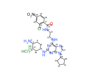 Cl.Cl.N[C@H]1CC[C@H](Nc2nc(NCCNC(=O)c3ccc([N+](=O)[O-])cc3Cl)c3ncn(C4CCCC4)c3n2)CC1